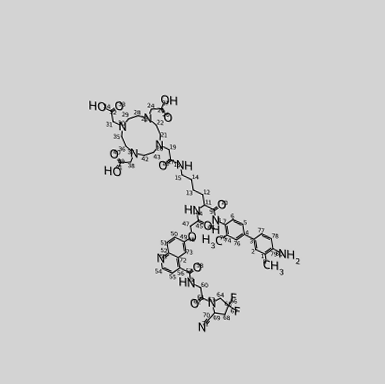 Cc1cc(-c2ccc(NC(=O)C(CCCCNC(=O)CN3CCN(CC(=O)O)CCN(CC(=O)O)CCN(CC(=O)O)CC3)NC(=O)COc3ccc4nccc(C(=O)NCC(=O)N5CC(F)(F)CC5C#N)c4c3)c(C)c2)ccc1N